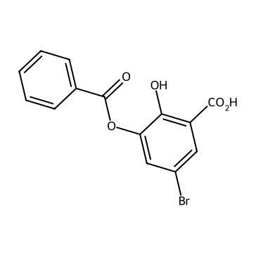 O=C(Oc1cc(Br)cc(C(=O)O)c1O)c1ccccc1